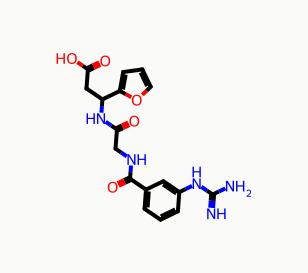 N=C(N)Nc1cccc(C(=O)NCC(=O)NC(CC(=O)O)c2ccco2)c1